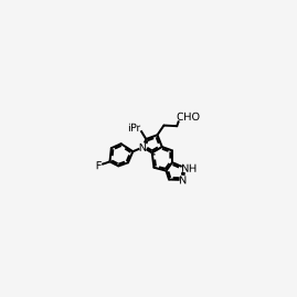 CC(C)c1c(CCC=O)c2cc3[nH]ncc3cc2n1-c1ccc(F)cc1